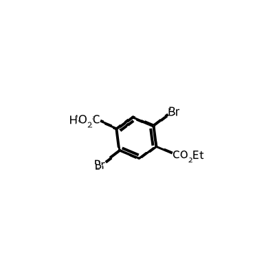 CCOC(=O)c1cc(Br)c(C(=O)O)cc1Br